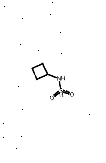 O=[SH](=O)NC1CCC1